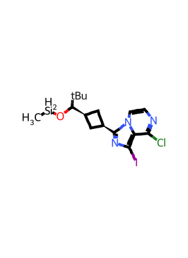 C[SiH2]OC([C@H]1C[C@@H](c2nc(I)c3c(Cl)nccn32)C1)C(C)(C)C